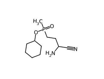 CP(=O)(CCC(N)C#N)OC1CCCCC1